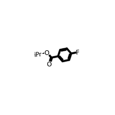 [CH2][C@@H](C)OC(=O)c1ccc(F)cc1